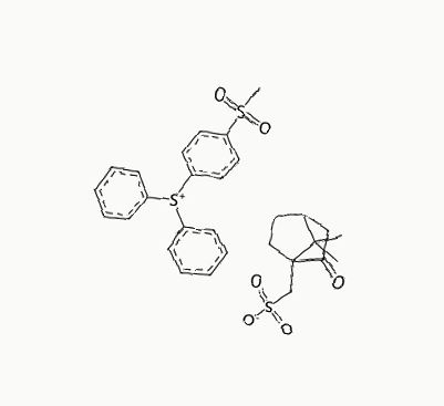 CC1(C)C2CCC1(CS(=O)(=O)[O-])C(=O)C2.CS(=O)(=O)c1ccc([S+](c2ccccc2)c2ccccc2)cc1